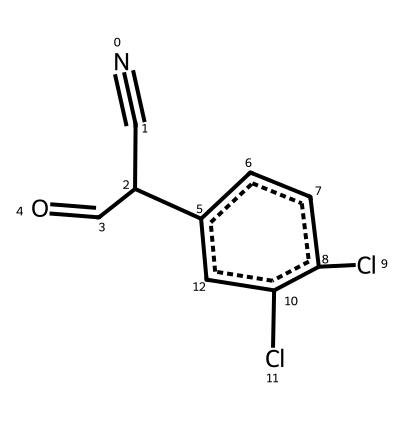 N#CC(C=O)c1ccc(Cl)c(Cl)c1